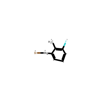 Cc1c(F)ccc[c]1[Mg][Br]